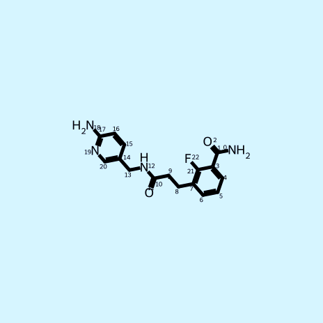 NC(=O)c1cccc(C[CH]C(=O)NCc2ccc(N)nc2)c1F